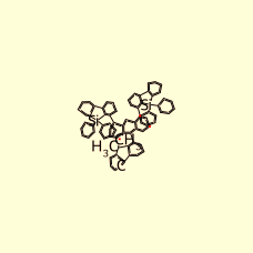 CC1(C)c2ccccc2-c2cccc(-c3c4cccc(-c5cccc6c5[Si](c5ccccc5)(c5ccccc5)c5ccccc5-6)c4cc4c(-c5cccc6c5[Si](c5ccccc5)(c5ccccc5)c5ccccc5-6)cccc34)c21